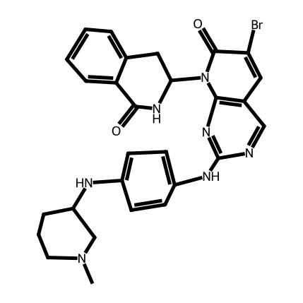 CN1CCCC(Nc2ccc(Nc3ncc4cc(Br)c(=O)n(C5Cc6ccccc6C(=O)N5)c4n3)cc2)C1